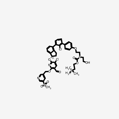 C[Si](C)(C)CCOC(=O)N(CCO)CCOc1ccc(-c2cccc(-c3cccc4c3CC[C@@H]4Oc3nc(OCc4cncc(S(C)(=O)=O)c4)c(C=O)cc3Cl)c2Cl)cc1